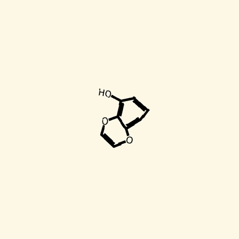 Oc1cccc2c1OC=CO2